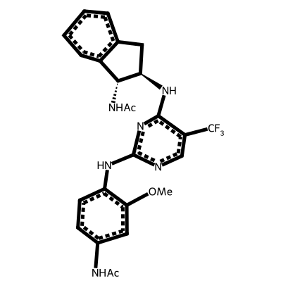 COc1cc(NC(C)=O)ccc1Nc1ncc(C(F)(F)F)c(N[C@@H]2Cc3ccccc3[C@H]2NC(C)=O)n1